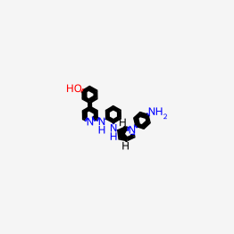 Nc1ccc(N2C[C@@H]3C[C@H](N[C@@H]4CCCC[C@H]4Nc4cc(-c5cccc(O)c5)ccn4)[C@H]2C3)cc1